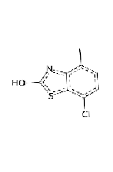 Cc1ccc(Cl)c2sc(O)nc12